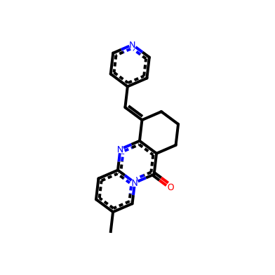 Cc1ccc2nc3c(c(=O)n2c1)CCCC3=Cc1ccncc1